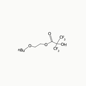 CCCCOCCOC(=O)C(O)(C(F)(F)F)C(F)(F)F